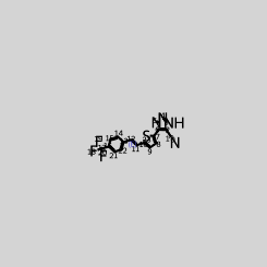 N#Cc1[nH]nnc1-c1ccc(/C=C/c2ccc(C(F)(F)F)cc2)s1